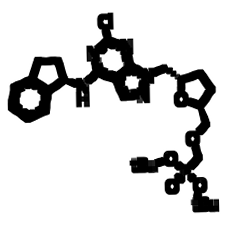 CC(C)(C)OP(=O)(COC[C@@H]1CC[C@@H](Cn2ncc3c(N[C@@H]4CCc5ccccc54)nc(Cl)nc32)O1)OC(C)(C)C